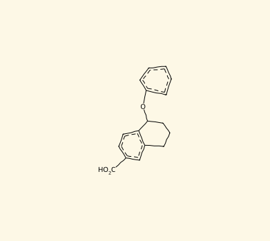 O=C(O)c1ccc2c(c1)CCCC2Oc1ccccc1